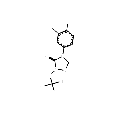 O=C1N(SC(F)(Cl)Cl)NCN1c1ccc(Cl)c(Cl)c1